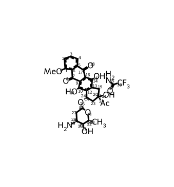 COc1cccc2c1C(=O)c1c(O)c3c(c(O)c1C2=O)C[C@@](O)(C(C)=O)C[C@@H]3O[C@H]1C[C@H](N)[C@H](O)[C@H](C)O1.NC(=O)C(F)(F)F